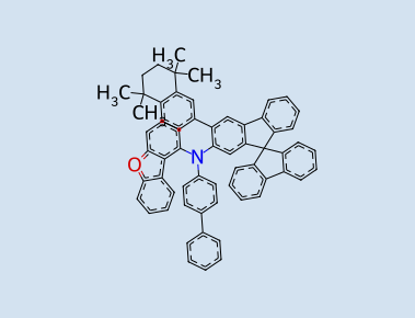 CC1(C)CCC(C)(C)c2cc(-c3cc4c(cc3N(c3ccc(-c5ccccc5)cc3)c3cccc5oc6ccccc6c35)C3(c5ccccc5-c5ccccc53)c3ccccc3-4)ccc21